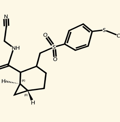 CSc1ccc(S(=O)(=O)CC2CC[C@@H]3C[C@H]3C2C(=O)NCC#N)cc1